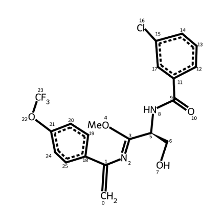 C=C(/N=C(\OC)[C@H](CO)NC(=O)c1cccc(Cl)c1)c1ccc(OC(F)(F)F)cc1